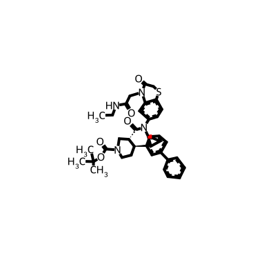 CCNC(=O)CN1C(=O)CSc2ccc(N(C(=O)[C@H]3CN(C(=O)OC(C)(C)C)CC[C@@H]3c3cccc(-c4ccccc4)c3)C3CC3)cc21